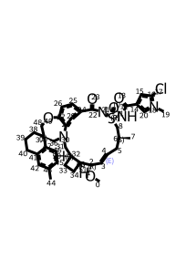 CO[C@H]1/C=C/C[C@H](C)C[S@@](=O)(NC(=O)c2cc(Cl)n(C)c2)=NC(=O)c2ccc3c(c2)N(C[C@@H]2CC[C@H]21)C[C@@]1(CCCc2cc(C)ccc21)CO3